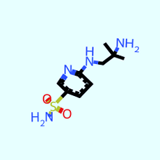 CC(C)(N)CNc1ccc(S(N)(=O)=O)cn1